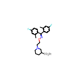 CCOC(=O)C1CCCN(CCON=C(c2ccc(F)cc2C)c2ccc(F)cc2C)C1